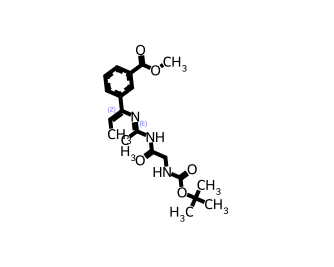 C/C=C(\N=C(/C)NC(=O)CNC(=O)OC(C)(C)C)c1cccc(C(=O)OC)c1